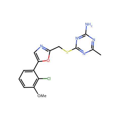 COc1cccc(-c2cnc(CSc3nc(C)nc(N)n3)o2)c1Cl